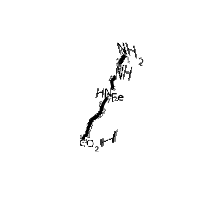 NCCNCCNCCCCCCC(=O)O.[Fe]